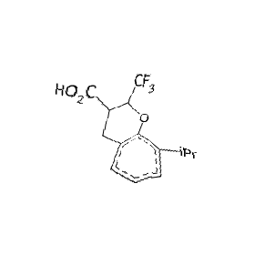 CC(C)c1cccc2c1OC(C(F)(F)F)C(C(=O)O)C2